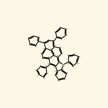 c1ccc(-c2cc(-c3ccccc3)c3ccc4c5c(ccc2c35)c(-c2ccccc2)c2c3ccccc3n(-c3ccccc3)c42)cc1